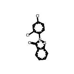 O=c1c2ccccc2sn1-c1ccc(Cl)cc1Cl